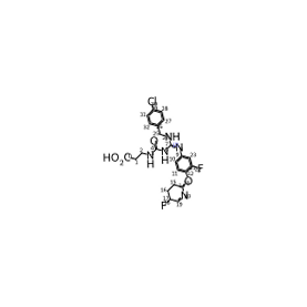 O=C(O)CCNC(=O)N/C(=N\c1ccc(OC2CCC(F)C=N2)c(F)c1)NCc1ccc(Cl)cc1